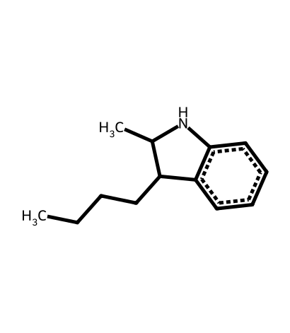 CCCCC1c2ccccc2NC1C